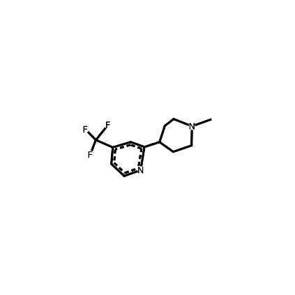 CN1CCC(c2cc(C(F)(F)F)ccn2)CC1